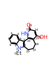 CCn1c2c(c3ccccc31)-c1[nH]c(=O)cc(O)c1CCC2